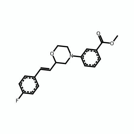 COC(=O)c1cccc(N2CCOC(/C=C/c3ccc(F)cc3)C2)c1